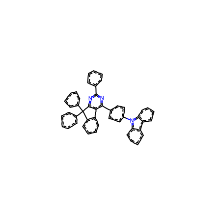 c1ccc(-c2nc(-c3ccc(-n4c5ccccc5c5ccccc54)cc3)c3c(n2)C(c2ccccc2)(c2ccccc2)c2ccccc2-3)cc1